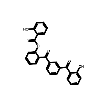 O=C(Oc1ccccc1C(=O)c1cccc(C(=O)c2ccccc2O)c1)c1ccccc1O